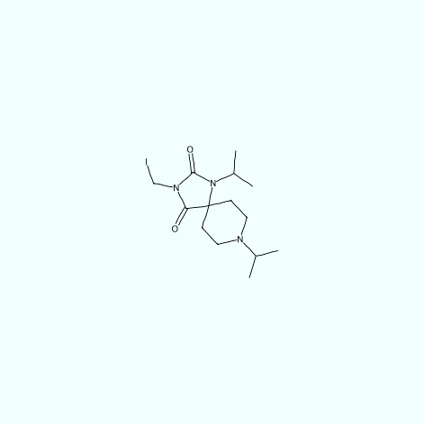 CC(C)N1CCC2(CC1)C(=O)N(CI)C(=O)N2C(C)C